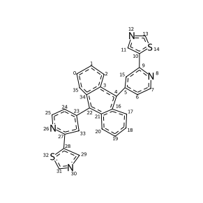 c1ccc2c(-c3ccnc(-c4cncs4)c3)c3ccccc3c(-c3ccnc(-c4cncs4)c3)c2c1